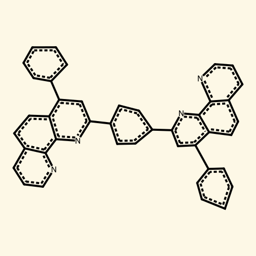 c1ccc(-c2cc(-c3ccc(-c4cc(-c5ccccc5)c5ccc6cccnc6c5n4)cc3)nc3c2ccc2cccnc23)cc1